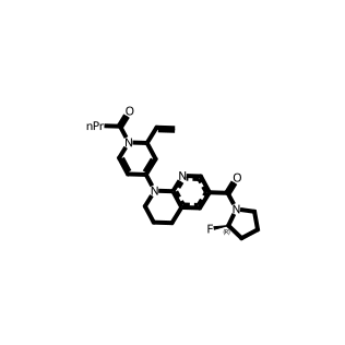 C=CC1C=C(N2CCCc3cc(C(=O)N4CCC[C@H]4F)cnc32)C=CN1C(=O)CCC